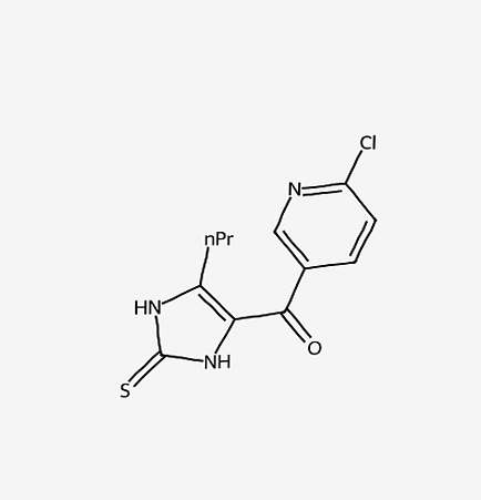 CCCc1[nH]c(=S)[nH]c1C(=O)c1ccc(Cl)nc1